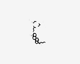 C=C(CO)C(=O)OCC(CCC[C@H]1CC[C@@]2(C)[C@@H](CC[C@@H]3[C@@H]2CC[C@]2(C)C([C@H](C)CCCC(C)C)CC[C@@H]32)C1)COC(=O)C(=C)CO